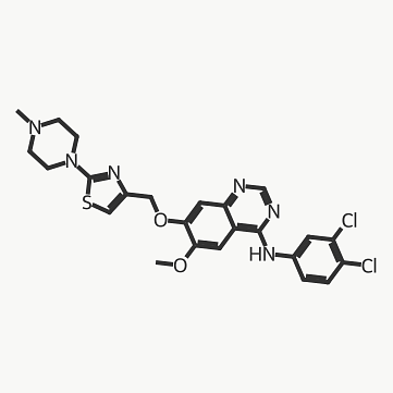 COc1cc2c(Nc3ccc(Cl)c(Cl)c3)ncnc2cc1OCc1csc(N2CCN(C)CC2)n1